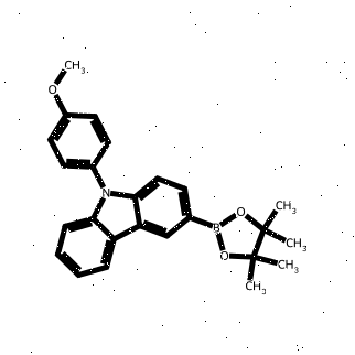 COc1ccc(-n2c3ccccc3c3cc(B4OC(C)(C)C(C)(C)O4)ccc32)cc1